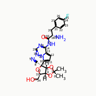 CC1(C)O[C@H]2[C@@H](O1)[C@](C#N)(c1ccc3c(NC(=O)[C@@H](N)Cc4ccc(F)cc4)ncnn13)O[C@@H]2CO